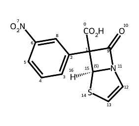 O=C(O)C1(c2cccc([N+](=O)[O-])c2)C(=O)N2C=CS[C@H]21